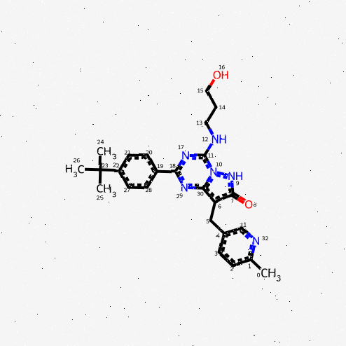 Cc1ccc(Cc2c(=O)[nH]n3c(NCCCO)nc(-c4ccc(C(C)(C)C)cc4)nc23)cn1